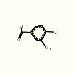 CCC(=O)c1ccc(Cl)c(C(F)(F)F)c1